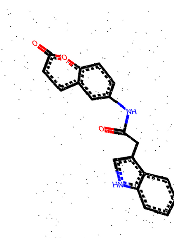 O=C(Cc1c[nH]c2ccccc12)Nc1ccc2oc(=O)ccc2c1